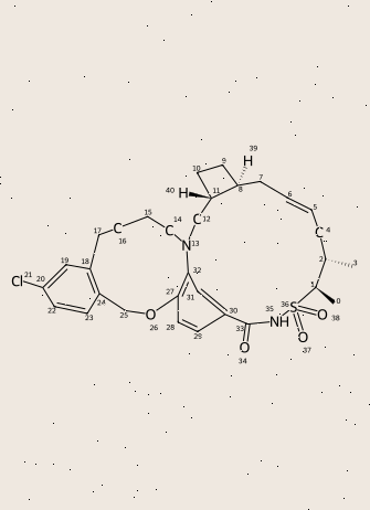 C[C@@H]1[C@@H](C)C/C=C/C[C@@H]2CC[C@H]2CN2CCCCc3cc(Cl)ccc3COc3ccc(cc32)C(=O)NS1(=O)=O